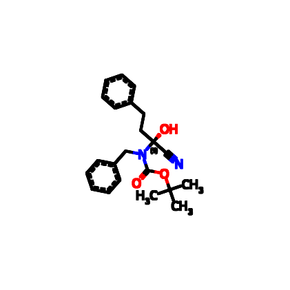 CC(C)(C)OC(=O)N(Cc1ccccc1)[C@@](O)(C#N)CCc1ccccc1